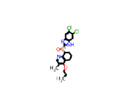 C=CCOc1c(C)cnc2c1CCCC2[S+]([O-])c1nc2cc(Cl)c(Cl)cc2[nH]1